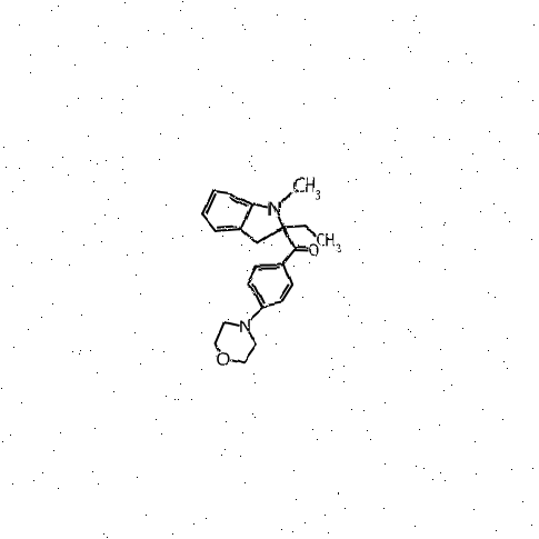 CCC1(C(=O)c2ccc(N3CCOCC3)cc2)Cc2ccccc2N1C